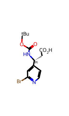 CC(C)(C)OC(=O)N[C@H](CC(=O)O)c1ccnc(Br)c1